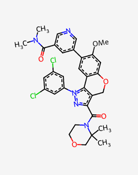 COc1cc2c(cc1-c1cncc(C(=O)N(C)C)c1)-c1c(c(C(=O)N3CCOCC3(C)C)nn1-c1cc(Cl)cc(Cl)c1)CO2